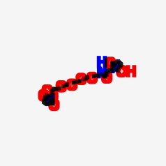 O=C(CCN1C(=O)C=C[C@@H]1O)NCCOCCOCCOCCOCCC(=O)ON1C(=O)CCC1=O